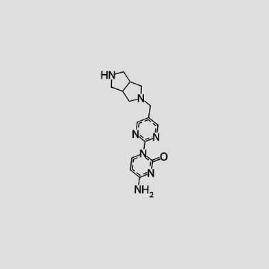 Nc1ccn(-c2ncc(CN3CC4CNCC4C3)cn2)c(=O)n1